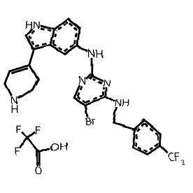 FC(F)(F)c1ccc(CNc2nc(Nc3ccc4[nH]cc(C5=CCNCC5)c4c3)ncc2Br)cc1.O=C(O)C(F)(F)F